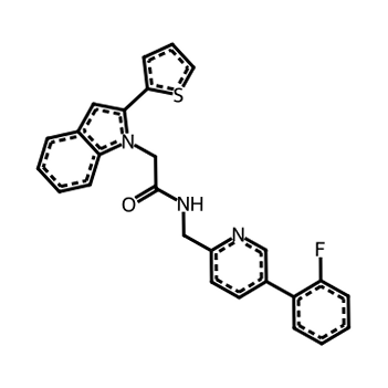 O=C(Cn1c(-c2cccs2)cc2ccccc21)NCc1ccc(-c2ccccc2F)cn1